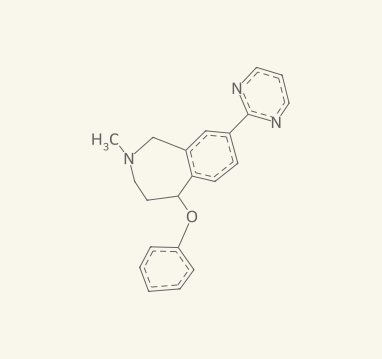 CN1CCC(Oc2ccccc2)c2ccc(-c3ncccn3)cc2C1